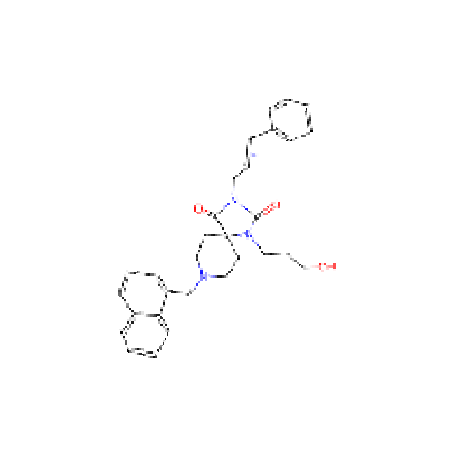 O=C1N(C/C=C/c2ccccc2)C(=O)C2(CCN(Cc3cccc4ccccc34)CC2)N1CCCO